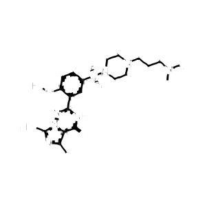 CCCc1nc(C)c2c(=O)[nH]c(-c3cc(S(=O)(=O)N4CCN(CCCN(C)C)CC4)ccc3OCC)nn12